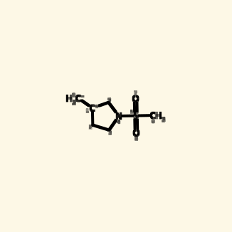 [CH2-][C+]1CCN(S(C)(=O)=O)C1